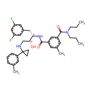 CCCN(CCC)C(=O)c1cc(C)cc(C(=O)N[C@@H](Cc2cc(F)cc(F)c2)[C@H](O)CNC2(c3cccc(C)c3)CC2)c1